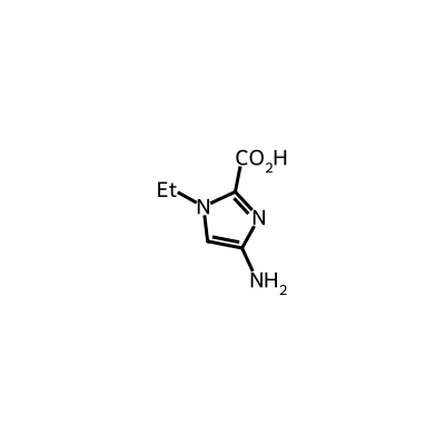 CCn1cc(N)nc1C(=O)O